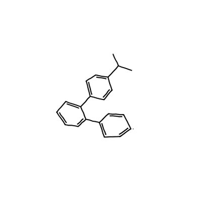 CC(C)c1ccc(-c2ccccc2-c2cc[c]cc2)cc1